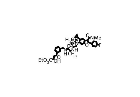 CCOC(=O)/C(O)=C/C(=O)c1cccc(CNC(=O)C(C)NC(=O)CN(c2cc3oc(-c4ccc(F)cc4)c(C(=O)NC)c3cc2C2CC2)S(C)(=O)=O)c1